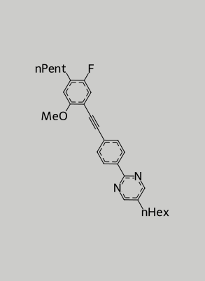 CCCCCCc1cnc(-c2ccc(C#Cc3cc(F)c(CCCCC)cc3OC)cc2)nc1